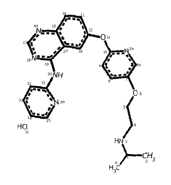 CC(C)NCCOc1ccc(Oc2ccc3ncnc(Nc4ccccn4)c3c2)nc1.Cl